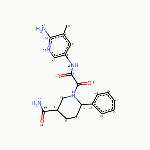 Cc1cc(NC(=O)C(=O)N2CC(C(N)=O)CCC2c2ccccc2)cnc1N